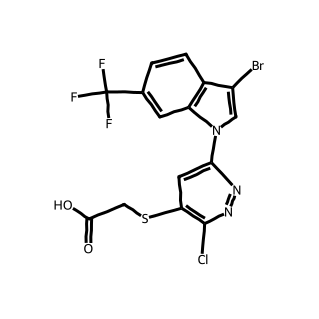 O=C(O)CSc1cc(-n2cc(Br)c3ccc(C(F)(F)F)cc32)nnc1Cl